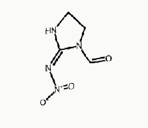 O=CN1CCN/C1=N/[N+](=O)[O-]